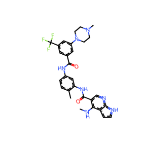 CNc1c(C(=O)Nc2cc(NC(=O)c3cc(N4CCN(C)CC4)cc(C(F)(F)F)c3)ccc2C)cnc2[nH]ccc12